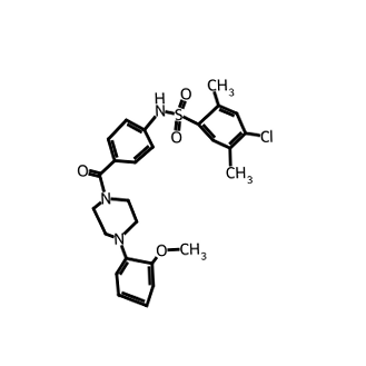 COc1ccccc1N1CCN(C(=O)c2ccc(NS(=O)(=O)c3cc(C)c(Cl)cc3C)cc2)CC1